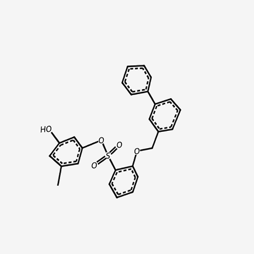 Cc1cc(O)cc(OS(=O)(=O)c2ccccc2OCc2cccc(-c3ccccc3)c2)c1